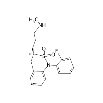 CNCCC[C@@H]1Cc2ccccc2N(c2ccccc2F)S1(=O)=O